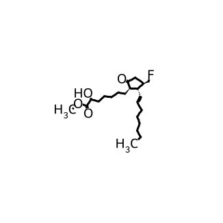 CCCCCCC=C[C@H]1[C@H](CF)CC(=O)[C@@H]1CCCCCC(O)C(=O)OC